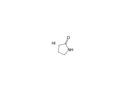 I.O=C1CCCN1